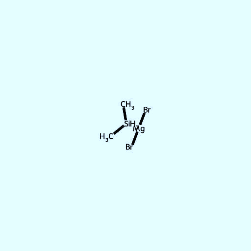 C[SiH2]C.[Br][Mg][Br]